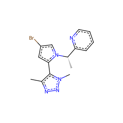 Cc1nnn(C)c1-c1cc(Br)cn1[C@@H](C)c1ccccn1